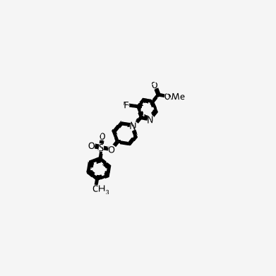 COC(=O)c1cnc(N2CCC(OS(=O)(=O)c3ccc(C)cc3)CC2)c(F)c1